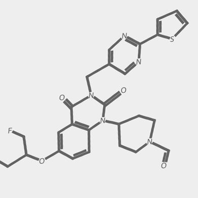 O=CN1CCC(n2c(=O)n(Cc3cnc(-c4cccs4)nc3)c(=O)c3cc(OC(CF)CF)ccc32)CC1